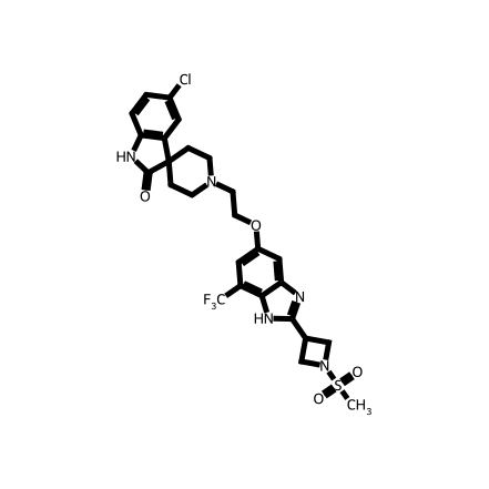 CS(=O)(=O)N1CC(c2nc3cc(OCCN4CCC5(CC4)C(=O)Nc4ccc(Cl)cc45)cc(C(F)(F)F)c3[nH]2)C1